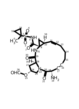 CC1(S(=O)(=O)NC(=O)[C@@]23C[C@H]2/C=C\CCCCC[C@H](N)C(=O)N2C[C@H](OC=O)C[C@H]2C(=O)N3)CC1